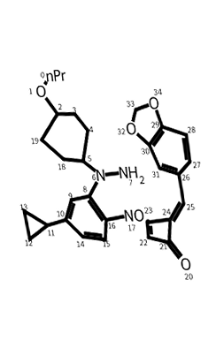 CCCOC1CCC(N(N)c2cc(C3CC3)ccc2[N+](=O)[O-])CC1.O=C1C=CC1=Cc1ccc2c(c1)OCO2